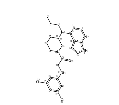 CCCN(c1ncnc2[nH]ccc12)[C@H]1CCCN(C(=O)CNc2cc(Cl)cc(Cl)c2)C1